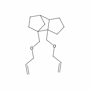 C=CCOCC12CCC(C1)C1CCCC12COCC=C